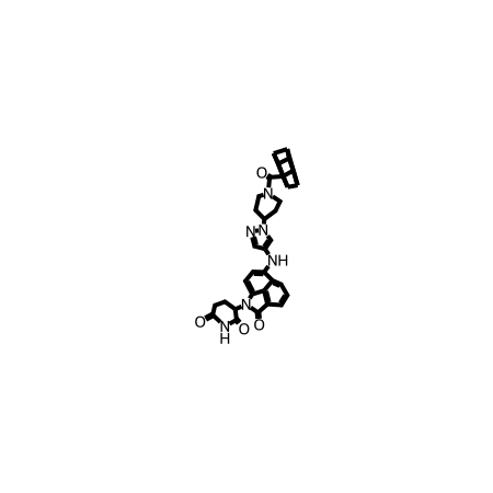 O=C1CCC(N2C(=O)c3cccc4c(Nc5cnn(C6CCN(C(=O)C78C9C%10C%11C9C7C%11C%108)CC6)c5)ccc2c34)C(=O)N1